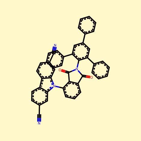 N#Cc1ccc2c3ccc(C#N)cc3n(-c3cccc4c3C(=O)N(c3c(-c5ccccc5)cc(-c5ccccc5)cc3-c3ccccc3)C4=O)c2c1